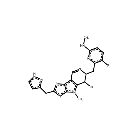 CNc1ccc(F)c(CN2N=Cc3c(n(C)c4nc(Cc5cc[nH]n5)sc34)C2O)n1